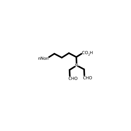 CCCCCCCCCCCCC(C(=O)O)N(CC=O)CC=O